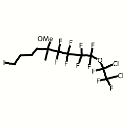 COC(C)(CCCCI)C(F)(F)C(F)(F)C(F)(F)C(F)(F)OC(F)(Cl)C(F)(F)Cl